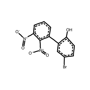 O=[N+]([O-])c1cccc(-c2cc(Br)ccc2O)c1[N+](=O)[O-]